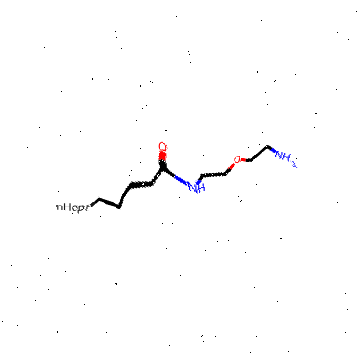 CCCCCCCCCCCC(=O)NCCOCCN